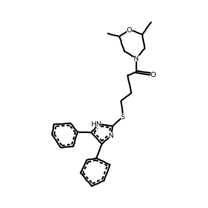 CC1CN(C(=O)CCCSc2nc(-c3ccccc3)c(-c3ccccc3)[nH]2)CC(C)O1